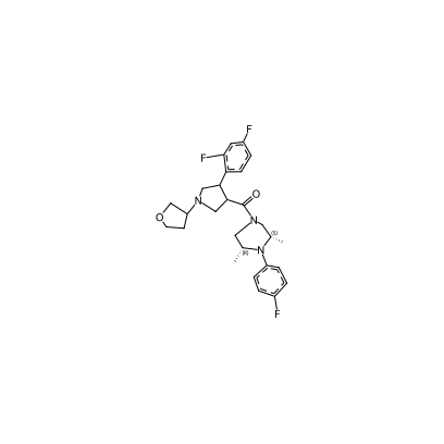 C[C@@H]1CN(C(=O)C2CN(C3CCOC3)CC2c2ccc(F)cc2F)C[C@H](C)N1c1ccc(F)cc1